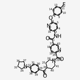 O=C(Nc1ccc(Oc2ccc(F)cc2)nc1)c1ccc(C(=O)N2CCC(C(=O)c3ccc(N4CCCC4)cc3)CC2)nc1